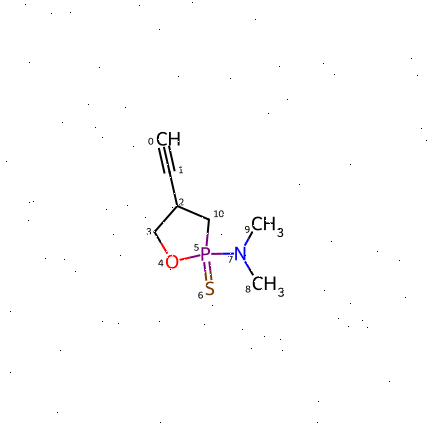 C#CC1COP(=S)(N(C)C)C1